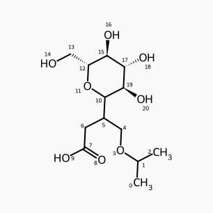 CC(C)OCC(CC(=O)O)C1O[C@H](CO)[C@@H](O)[C@H](O)[C@H]1O